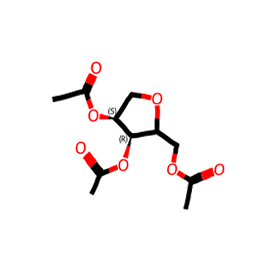 CC(=O)OCC1OC[C@H](OC(C)=O)[C@@H]1OC(C)=O